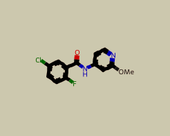 COc1cc(NC(=O)c2cc(Cl)ccc2F)ccn1